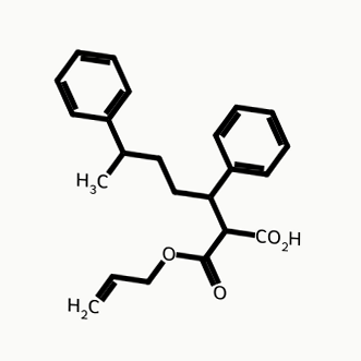 C=CCOC(=O)C(C(=O)O)C(CCC(C)c1ccccc1)c1ccccc1